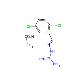 CC(=O)O.N=C(N)N/N=C/c1cc(Cl)ccc1Cl